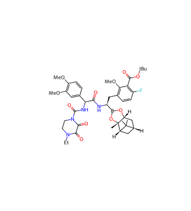 CCN1CCN(C(=O)NC(C(=O)N[C@@H](Cc2ccc(F)c(C(=O)OC(C)(C)C)c2OC)B2O[C@@H]3C[C@@H]4C[C@@H](C4(C)C)[C@]3(C)O2)c2ccc(OC)c(OC)c2)C(=O)C1=O